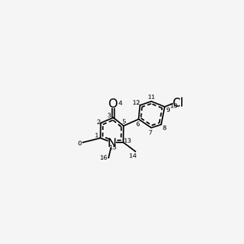 Cc1cc(=O)c(-c2ccc(Cl)cc2)c(C)n1C